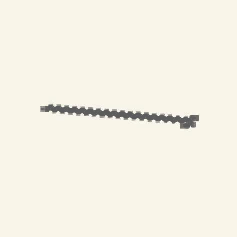 O=P(O)(O)CCCCCCCCCCCCCCCCCCCCCCCCCCCCCCCCCCCS